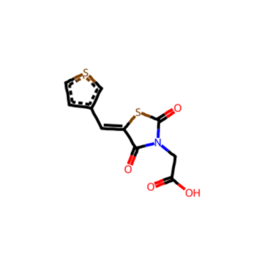 O=C(O)CN1C(=O)SC(=Cc2ccsc2)C1=O